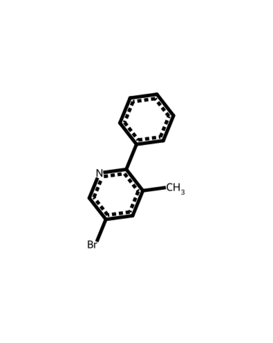 Cc1cc(Br)cnc1-c1ccccc1